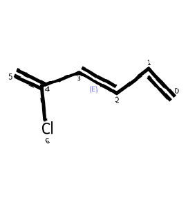 C=C/C=C/C(=C)Cl